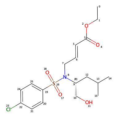 CCOC(=O)C=CCN([C@@H](CO)CC(C)C)S(=O)(=O)c1ccc(Cl)cc1